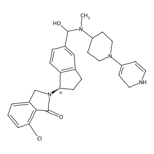 CN(C1CCN(C2=CCNC=C2)CC1)C(O)c1ccc2c(c1)CC[C@H]2N1Cc2cccc(Cl)c2C1=O